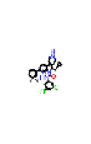 N#Cc1cccc(-c2ccc(C3(C(CC4CC4)NC(=O)Nc4cc(Cl)cc(Cl)c4)CCNCC3)cc2)c1